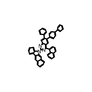 c1ccc(-c2ccc(-c3cc4c(-c5cccc6ccccc56)nc(-n5c6ccccc6c6cc7ccccc7cc65)nc4cc3-c3ccccc3)cc2)cc1